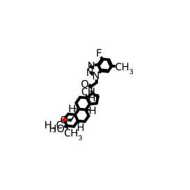 COC[C@]12CC[C@@](C)(O)C[C@@H]1CC[C@H]1[C@@H]3CC[C@H](C(=O)Cn4nnc5c(F)cc(C)cc54)[C@@]3(C)CC[C@@H]12